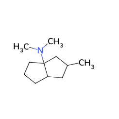 CC1CC2CCCC2(N(C)C)C1